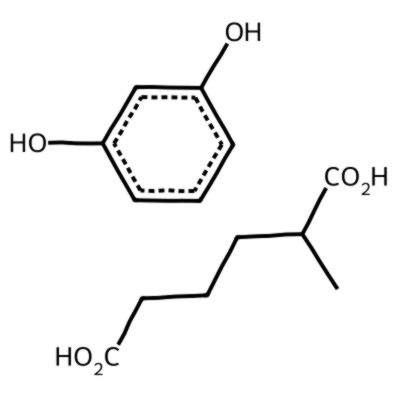 CC(CCCC(=O)O)C(=O)O.Oc1cccc(O)c1